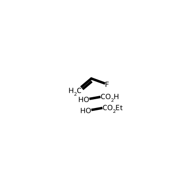 C=CF.CCOC(=O)O.O=C(O)O